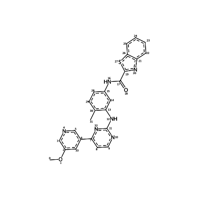 COc1cncc(-c2ccnc(Nc3cc(NC(=O)c4nc5ccccc5s4)ccc3C)n2)c1